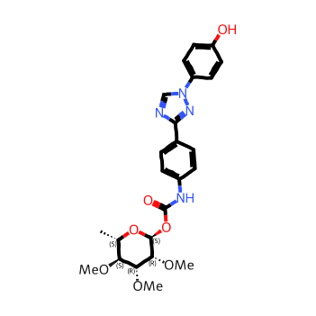 CO[C@@H]1[C@@H](OC)[C@H](C)O[C@@H](OC(=O)Nc2ccc(-c3ncn(-c4ccc(O)cc4)n3)cc2)[C@@H]1OC